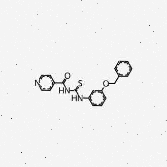 O=C(NC(=S)Nc1cccc(OCc2ccccc2)c1)c1ccncc1